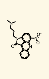 CN(C)CCCN1C(=O)c2c3ccccc3nc3c([N+](=O)[O-])ccc1c23